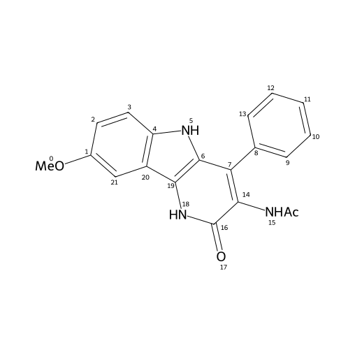 COc1ccc2[nH]c3c(-c4ccccc4)c(NC(C)=O)c(=O)[nH]c3c2c1